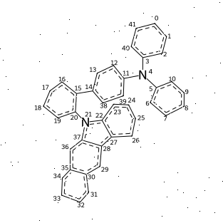 c1ccc(N(c2ccccc2)c2ccc(-c3ccccc3-n3c4ccccc4c4cc5ccccc5cc43)cc2)cc1